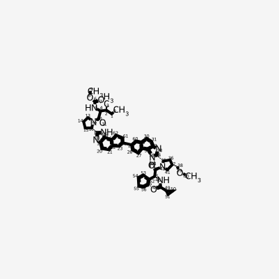 CC[C@H](C)C(NC(=O)OC)C(=O)N1CCC[C@H]1c1nc2ccc3cc(-c4ccc5c(ccc6nc([C@@H]7C[C@H](COC)CN7C(=O)[C@H](NC(=O)C7CC7)c7ccccc7)[nH]c65)c4)ccc3c2[nH]1